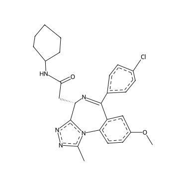 COc1ccc2c(c1)C(c1ccc(Cl)cc1)=N[C@@H](CC(=O)NC1CCCCC1)c1nnc(C)n1-2